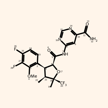 COc1c([C@H]2[C@@H](C(=O)Nc3cc(C(N)=O)ncn3)O[C@@](C)(C(F)(F)F)[C@H]2C)ccc(F)c1F